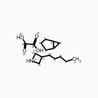 C1CC2CC2C1.CCCCCC1CNC1.O=C(O)C(=O)O